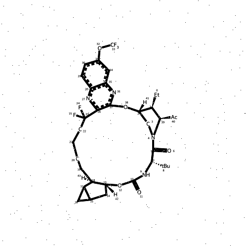 CC[C@@H]1[C@@H]2CN(C(=O)[C@H](C(C)(C)C)NC(=O)O[C@@H]3CC4CC4[C@H]3CCCCC(F)(F)c3nc4ccc(OC(F)(F)F)cc4nc3O2)[C@@H]1C(C)=O